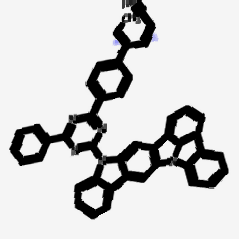 C#C/C=C\C(=C/C)c1ccc(-c2nc(-c3ccccc3)nc(-n3c4ccccc4c4cc5c(cc43)c3cccc4c6ccccc6n5c43)n2)cc1